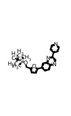 CC(C)(C)[Si](C)(C)OCc1ccc(-c2ccc3ncc(-c4ccncc4)nc3c2)o1